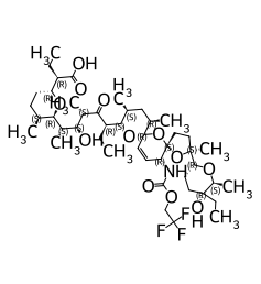 CC[C@@H](C(=O)[C@@H](C)[C@@H](O)[C@H](C)[C@@H]1O[C@@H]([C@@H](CC)C(=O)O)CC[C@@H]1C)[C@H]1O[C@]2(C=C[C@@H](NC(=O)OCC(F)(F)F)[C@]3(CC[C@@](C)([C@H]4CC[C@](O)(CC)[C@H](C)O4)O3)O2)[C@H](C)C[C@@H]1C